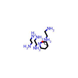 C1CN2CCC1CC2.NCCN.NCCN.NCCN